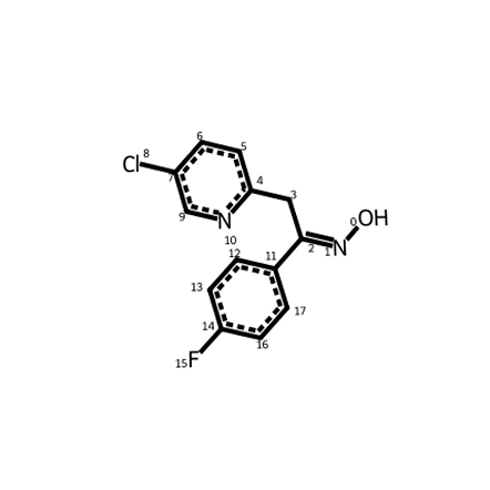 O/N=C(\Cc1ccc(Cl)cn1)c1ccc(F)cc1